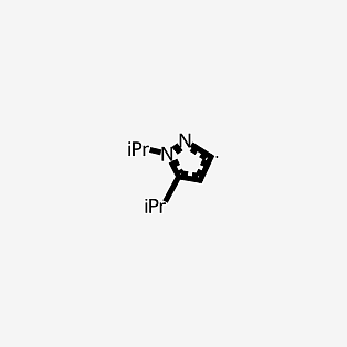 CC(C)c1c[c]nn1C(C)C